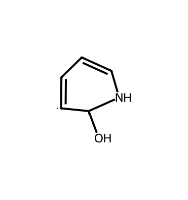 O[C]1[C]=CC=CN1